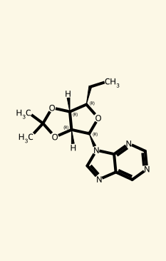 CC[C@H]1O[C@@H](n2cnc3cncnc32)[C@@H]2OC(C)(C)O[C@@H]21